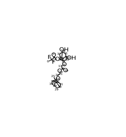 CC(F)(F)C(=O)OC12CC3(O)CC(O)(CC(OCC(=O)OCCOC4(C)C5CC6CC(C5)CC4C6)(C3)C1)C2